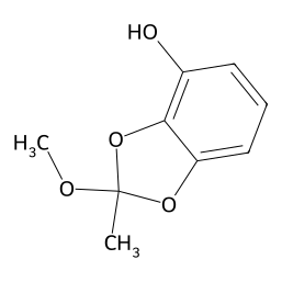 COC1(C)Oc2cccc(O)c2O1